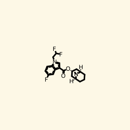 CN1[C@@H]2CCC[C@H]1C[C@H](OC(=O)c1cn(CC(F)F)c3ccc(F)cc13)C2